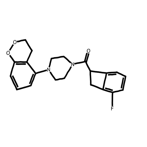 O=C(C1Cc2c(F)cccc21)N1CCN(c2cccc3c2CCOO3)CC1